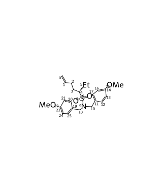 C=CCC[C@@H](CC)S(=O)(=O)N(Cc1ccc(OC)cc1)Cc1ccc(OC)cc1